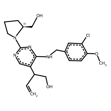 C=CC(CO)c1cnc(N2CCC[C@H]2CO)nc1NCc1ccc(OC)c(Cl)c1